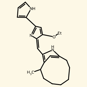 CCOC1=CC(c2ccc[nH]2)=NC1=Cc1[nH]c2cc1C(C)CCCCCC2